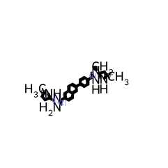 C=N/C=C(\NC1CC[C@@H](C)N1)c1ccc(-c2ccc3cc(C(=C/N)/N=C/C4CC[C@@H](C)N4)ccc3c2)cc1